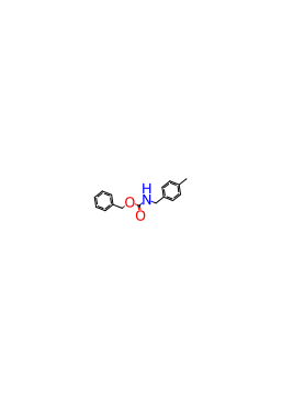 Cc1ccc(CNC(=O)OCc2ccccc2)cc1